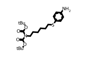 CC(C)(C)OC(=O)N(CCCCCCSc1ccc(N)cc1)C(=O)OC(C)(C)C